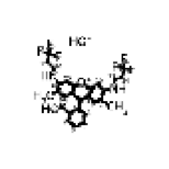 Cc1cc2c(-c3ccccc3C(=O)O)c3cc(C)c(NCCC(F)(F)F)cc3[o+]c2cc1NCCC(F)(F)F.[OH-]